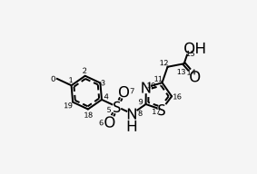 Cc1ccc(S(=O)(=O)Nc2nc(CC(=O)O)cs2)cc1